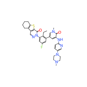 CCc1c(-c2cc(Nc3ccc(N4CCN(C)CC4)cn3)c(=O)n(C)c2)cc(F)cc1-n1ncc2c3c(sc2c1=O)CCCC3